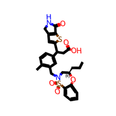 CCC[C@@H]1CN(Cc2cc(C(CC(=O)O)c3cc4c(s3)C(=O)NC4)ccc2C)S(=O)(=O)c2ccccc2O1